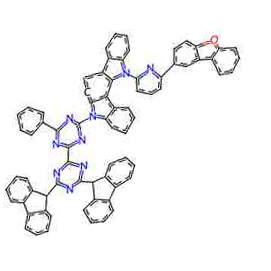 c1ccc(-c2nc(-c3nc(C4c5ccccc5-c5ccccc54)nc(C4c5ccccc5-c5ccccc54)n3)nc(-n3c4ccccc4c4c3ccc3c5ccccc5n(-c5cccc(-c6ccc7oc8ccccc8c7c6)n5)c34)n2)cc1